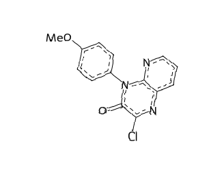 COc1ccc(-n2c(=O)c(Cl)nc3cccnc32)cc1